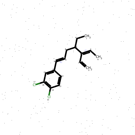 C=C/C(=C\C)C(CC)C/C=C/c1ccc(Cl)c(Cl)c1